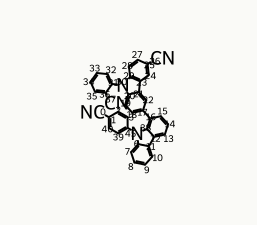 N#Cc1ccc(-n2c3ccccc3c3cccc(-c4ccc5c(c4)c4cc(C#N)ccc4n5-c4ccccc4C#N)c32)cc1